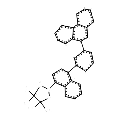 CC1(C)OB(c2ccc(-c3cccc(-c4cc5ccccc5c5ccccc45)c3)c3ccccc23)OC1(C)C